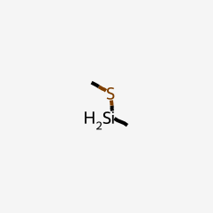 C[SiH2]SC